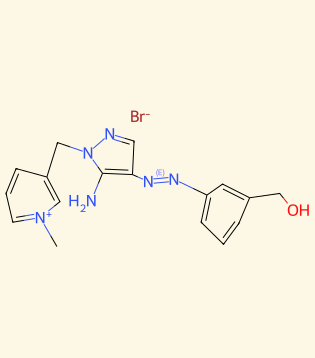 C[n+]1cccc(Cn2ncc(/N=N/c3cccc(CO)c3)c2N)c1.[Br-]